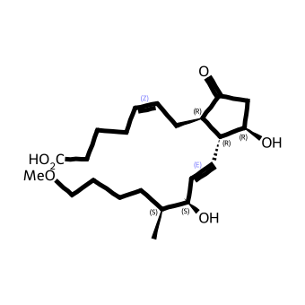 COCCCC[C@H](C)[C@H](O)/C=C/[C@H]1[C@H](O)CC(=O)[C@@H]1C/C=C\CCCC(=O)O